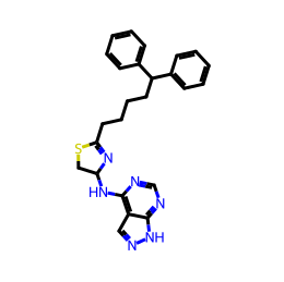 c1ccc(C(CCCCC2=NC(Nc3ncnc4[nH]ncc34)CS2)c2ccccc2)cc1